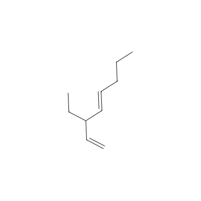 C=CC(C=CCCC)CC